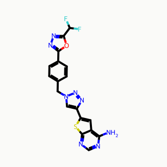 Nc1ncnc2sc(-c3cn(Cc4ccc(-c5nnc(C(F)F)o5)cc4)nn3)cc12